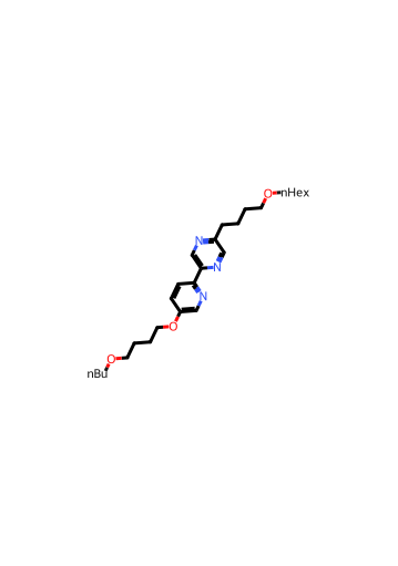 CCCCCCOCCCCc1cnc(-c2ccc(OCCCCOCCCC)cn2)cn1